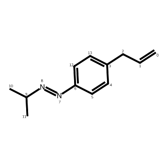 C=CCc1ccc(N=NC(C)C)cc1